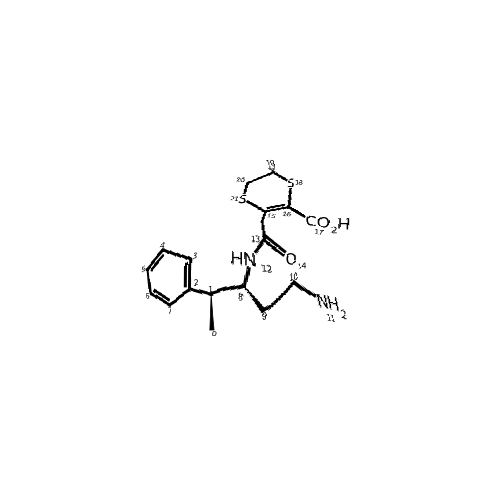 C[C@@H](c1ccccc1)[C@H](CCN)NC(=O)C1=C(C(=O)O)SCCS1